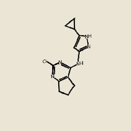 Clc1nc2c(c(Nc3cc(C4CC4)[nH]n3)n1)CCC2